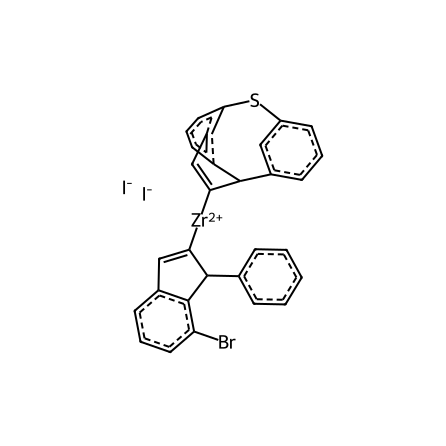 Brc1cccc2c1C(c1ccccc1)[C]([Zr+2][C]1=Cc3c4cccc3C1c1cccc(c1)S4)=C2.[I-].[I-]